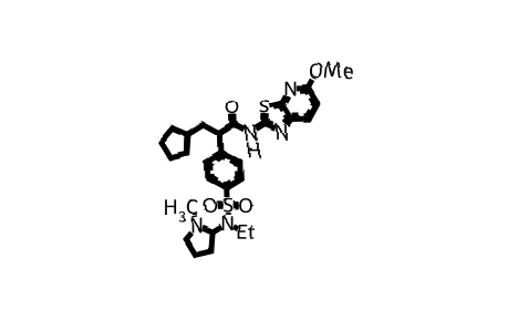 CCN(C1CCCN1C)S(=O)(=O)c1ccc(C(CC2CCCC2)C(=O)Nc2nc3ccc(OC)nc3s2)cc1